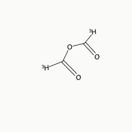 [3H]C(=O)OC([3H])=O